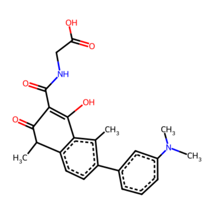 Cc1c(-c2cccc(N(C)C)c2)ccc2c1C(O)=C(C(=O)NCC(=O)O)C(=O)C2C